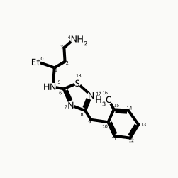 CCC(CCN)Nc1nc(Cc2ccccc2C)ns1